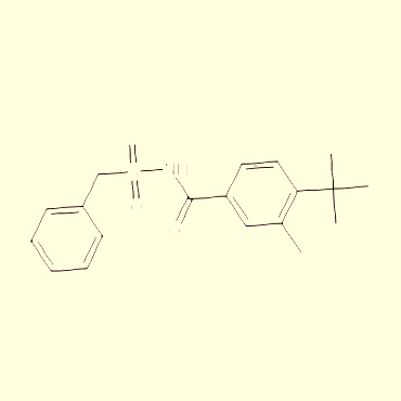 Cc1cc(C(=O)NS(=O)(=O)Cc2ccccc2)ccc1C(C)(C)C